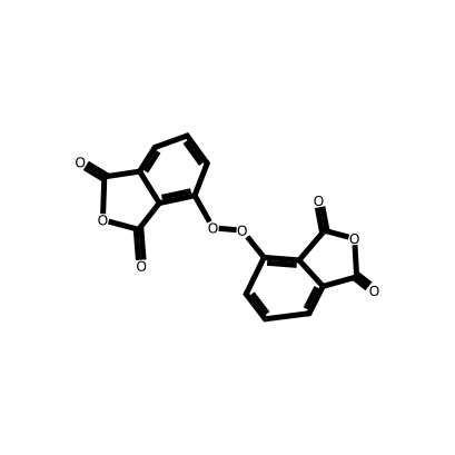 O=C1OC(=O)c2c(OOc3cccc4c3C(=O)OC4=O)cccc21